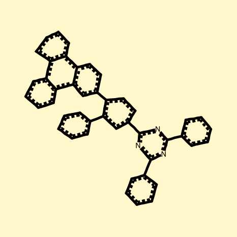 c1ccc(-c2nc(-c3ccccc3)nc(-c3ccc(-c4ccc5c6ccccc6c6ccccc6c5c4)c(-c4ccccc4)c3)n2)cc1